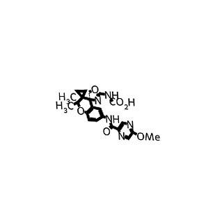 COc1cnc(C(=O)Nc2ccc3c(c2)[C@@]2(COC(NC(=O)O)=N2)C2(CC2)C(C)(C)O3)cn1